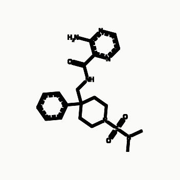 CN(C)S(=O)(=O)N1CCC(CNC(=O)c2nccnc2N)(c2ccccc2)CC1